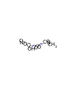 Cn1ccc2ccc(/C=C/C(=O)CC(=O)/C=C/c3ccc(OCc4ccccn4)cc3O)cc21